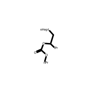 CCCCCCCCC(OC(=O)OCCC)C(C)C